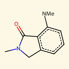 CNc1cccc2c1C(=O)N(C)C2